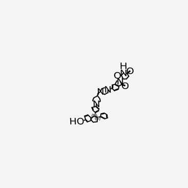 O=C1CCC(N2Cc3cc(N4CCN(CC5CCN(c6ccc([C@@H]7c8ccc(O)cc8CC[C@@H]7c7ccccc7)cc6)CC5)CC4)ccc3C2=O)C(=O)N1